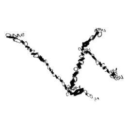 COCCOCCOCCOCCOCCOCCOCCOCCOCCOCCOCCOCCNC(=O)C(Cc1ccc(OCC(=O)O)cc1)NC(=O)CCOCCOCCOCCOCCNC(=O)C(Cc1ccc(OCC(=O)OC(C)(C)C)cc1)NC(=O)CCOCCOCCOCCOCCNC(=O)OC(C)(C)C